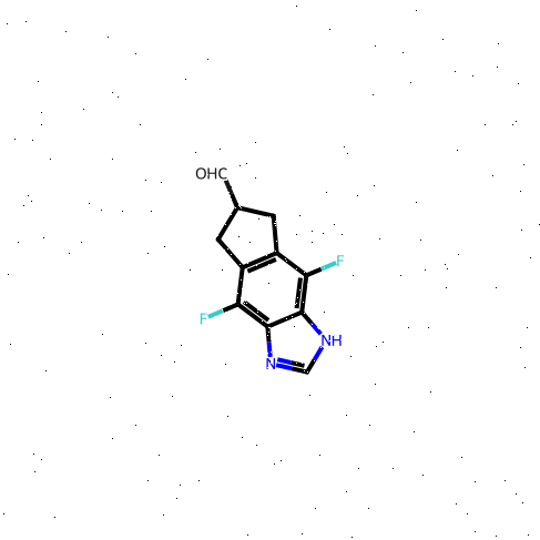 O=CC1Cc2c(c(F)c3[nH]cnc3c2F)C1